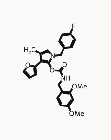 COc1ccc(CNC(=O)Oc2c(-c3ccco3)c(C)cn2Cc2ccc(F)cc2)c(OC)c1